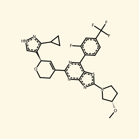 CO[C@H]1CCN(c2nc3nc(C4=C[C@H](c5c[nH]nc5C5CC5)OCC4)nc(-c4ccc(C(F)(F)F)cc4F)c3s2)C1